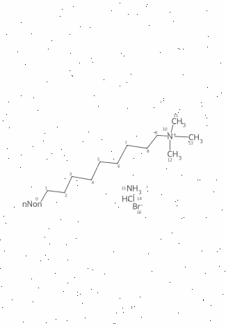 CCCCCCCCCCCCCCCCCC[N+](C)(C)C.Cl.N.[Br-]